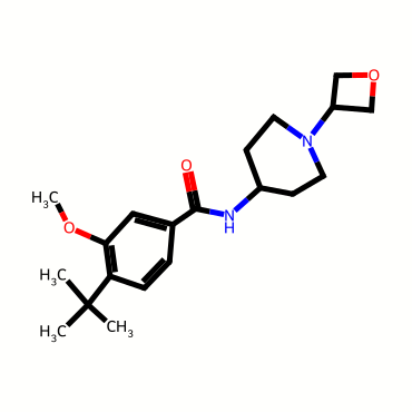 COc1cc(C(=O)NC2CCN(C3COC3)CC2)ccc1C(C)(C)C